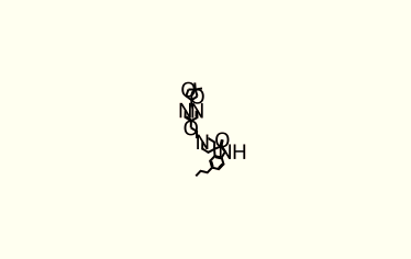 CCCc1ccc2c(c1)C1(CCN(CCOc3cnc(C4COC(C)(C)O4)nc3)CC1)C(=O)N2